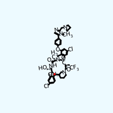 C[C@H]1C(=O)N[C@@H](CO)C(=O)N[C@@]2(Cc3ccc(Cl)cc3)CCCN(C2)C(=O)[C@H](CC(F)(F)F)CC(=O)N1Cc1c(F)cc(Cl)cc1Oc1ccc(-c2cnc(CN3CCC3)n2C)cc1